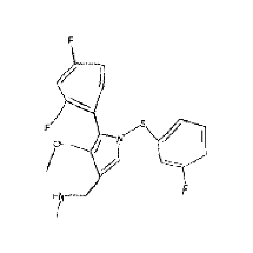 CNCc1cn(Sc2cccc(F)c2)c(-c2ccc(F)cc2F)c1OC